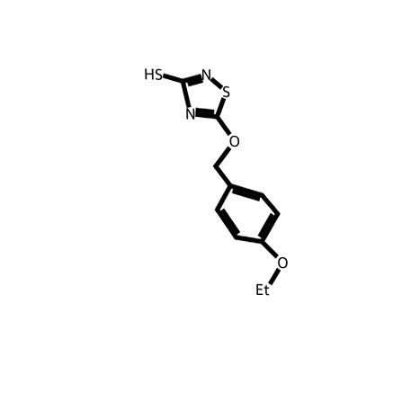 CCOc1ccc(COc2nc(S)ns2)cc1